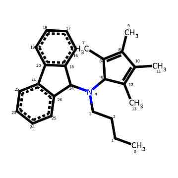 CCCCN(C1C(C)=C(C)C(C)=C1C)C1c2ccccc2-c2ccccc21